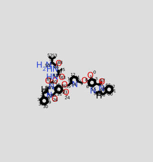 COc1cc2c(cc1OCc1cccc(COc3cc4c(cc3OC)C(=O)N3c5ccccc5C[C@H]3CN4C(=O)ONC(=O)[C@H](C)NC(=O)C(N)C(C)C)n1)N=C[C@@H]1Cc3ccccc3N1C2=O